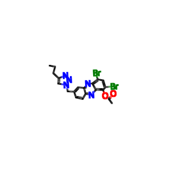 CCCc1cn(Cc2ccc3nc4c(OC(C)=O)c(Br)cc(Br)c4nc3c2)nn1